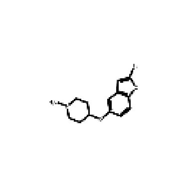 CCc1cc2cc(OC3CCN(C)CC3)ccc2o1